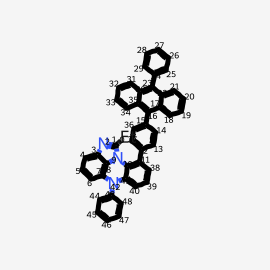 CCc1nc2cccc3c2n1-c1c(-c2ccc(-c4c5ccccc5c(-c5ccccc5)c5ccccc45)cc2)cccc1N3c1ccccc1